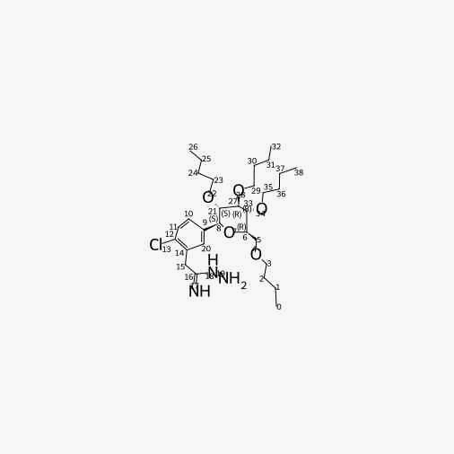 CCCCOC[C@H]1O[C@@H](c2ccc(Cl)c(CC(=N)NN)c2)[C@H](OCCCC)[C@@H](OCCCC)[C@@H]1OCCCC